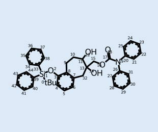 CC(C)(C)[Si](Oc1cccc2c1CCC(O)C(O)(COC(=O)N(c1ccccc1)c1ccccc1)C2)(c1ccccc1)c1ccccc1